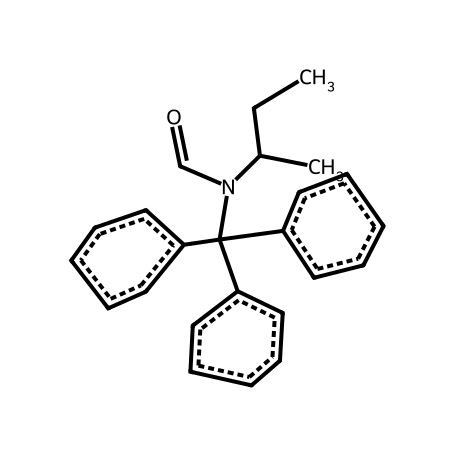 CCC(C)N(C=O)C(c1ccccc1)(c1ccccc1)c1ccccc1